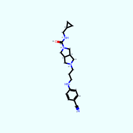 N#Cc1ccc(NCCCN2CC3CN(C(=O)NCC4CC4)CC3C2)cc1